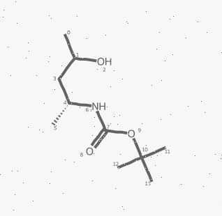 CC(O)C[C@@H](C)NC(=O)OC(C)(C)C